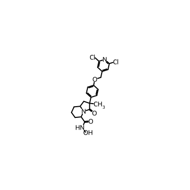 CC1(c2ccc(OCc3cc(Cl)nc(Cl)c3)cc2)CC2CCCC(C(=O)NO)N2C1=O